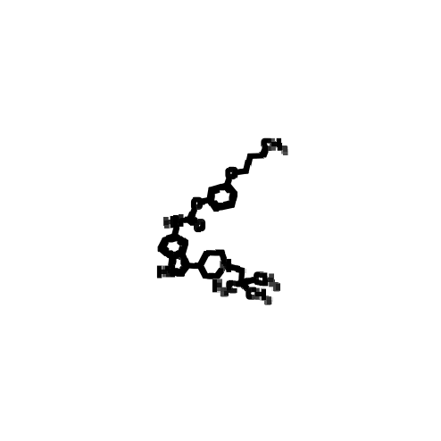 CCCCOc1cccc(OC(=O)Nc2ccc3[nH]cc(C4CCN(CC(C)(C)C)CC4)c3c2)c1